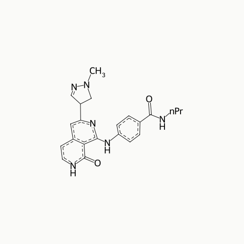 CCCNC(=O)c1ccc(Nc2nc(C3C=NN(C)C3)cc3cc[nH]c(=O)c23)cc1